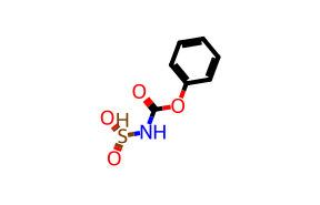 O=C(N[SH](=O)=O)Oc1ccccc1